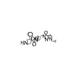 O=C(N1CCC(Cn2cnc3c(ccn3CC3CC3)c2=O)CC1)[C@@]1(O)CCNC[C@H]1c1ccccc1